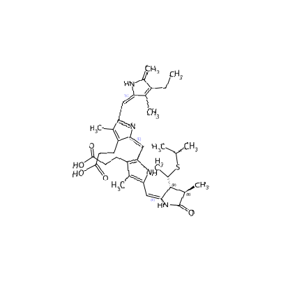 C=c1[nH]/c(=C/C2=NC(=C/c3[nH]c(/C=C4/NC(=O)[C@H](C)[C@H]4C(C)SC(C)C)c(C)c3CCC(=O)O)/C(CCC(=O)O)=C2C)c(C)c1CC